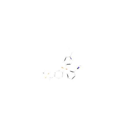 N#Cc1ccc(F)c([C@]2(S(=O)(=O)c3ccc(CF)nc3)CC[C@@H](NS(=O)(=O)C(F)(F)F)CC2)c1